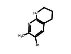 Cc1nc2c(cc1Br)CCCN2